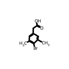 Cc1cc(CC(=O)O)cc(C)c1Br